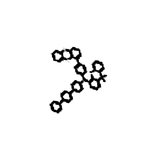 CC1(C)c2ccccc2Oc2c(N(c3ccc(-c4ccc(-c5ccccc5)cc4)cc3)c3ccc(-c4cccc5c4Sc4ccccc4S5)cc3)cccc21